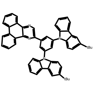 CC(C)(C)c1ccc2c(c1)c1ccccc1n2-c1cc(-c2cnc3c4ccccc4c4ccccc4c3n2)cc(-n2c3ccccc3c3cc(C(C)(C)C)ccc32)c1